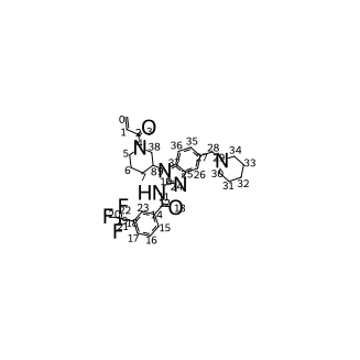 C=CC(=O)N1CCCC(n2c(NC(=O)c3cccc(C(F)(F)F)c3)nc3cc(CN4CCCCC4)ccc32)C1